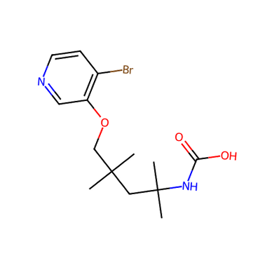 CC(C)(COc1cnccc1Br)CC(C)(C)NC(=O)O